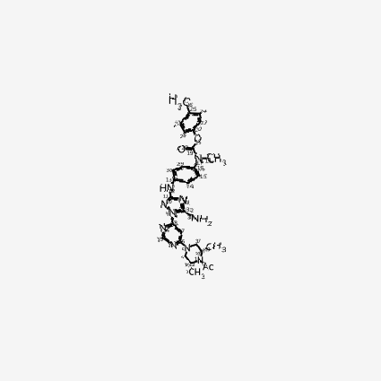 CC(=O)N1[C@H](C)CN(c2cc(-n3nc(Nc4ccc(N(C)C(=O)Oc5ccc(C)cc5)cc4)nc3N)ncn2)C[C@@H]1C